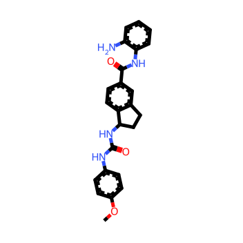 COc1ccc(NC(=O)NC2CCc3cc(C(=O)Nc4ccccc4N)ccc32)cc1